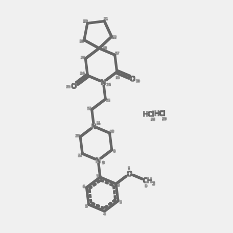 COc1ccccc1N1CCN(CCN2C(=O)CC3(CCCC3)CC2=O)CC1.Cl.Cl